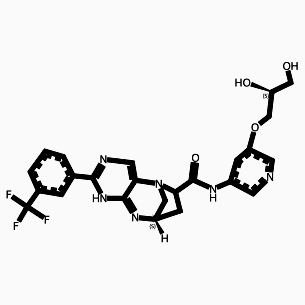 O=C(Nc1cncc(OC[C@@H](O)CO)c1)C1C[C@H]2CN1C1=CN=C(c3cccc(C(F)(F)F)c3)NC1=N2